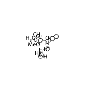 COc1cc(C(=O)N(Cc2cc3ccccc3cn2)C[C@@H]2CCCN2C[C@H]2C[C@H]3CC[C@@H](C2)N3)cc2c1OC(C)(C)O2